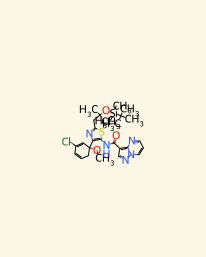 COC1(c2nc(CC(C)(C)O[Si](C)(C)C(C)(C)C)sc2NC(=O)c2cnn3cccnc23)C=C(Cl)C=CC1